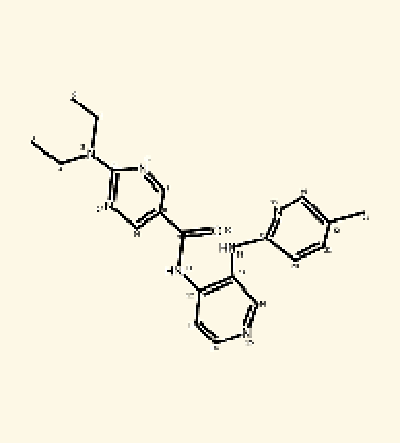 CCN(CC)c1ncc(C(=O)Nc2ccncc2Nc2ccc(C)cn2)cn1